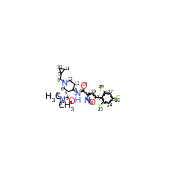 CN(C)C(=O)[C@@H]1CN(CC2CC2)CC[C@H]1NC(=O)c1cc(-c2c(F)cc(F)cc2F)on1